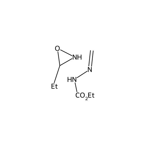 C=NNC(=O)OCC.CCC1NO1